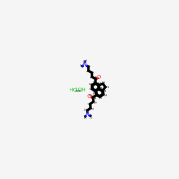 CN(C)CCCCC(=O)c1ccc2c(C(=O)CCCCN(C)C)ccc3c2c1CC3.Cl.Cl